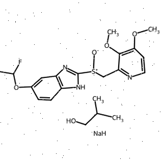 CC(C)CO.COc1ccnc(C[S+]([O-])c2nc3cc(OC(F)F)ccc3[nH]2)c1OC.[NaH]